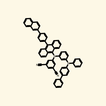 N#Cc1cc(C#N)cc(N(c2cccc(N(c3ccccc3)c3ccc(-c4ccccc4)cc3)c2)c2c3ccccc3c(-c3ccc(-c4ccc5ccccc5c4)cc3)c3ccccc23)c1